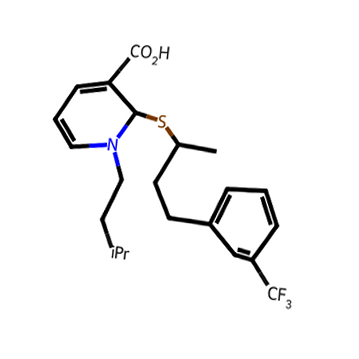 CC(C)CCN1C=CC=C(C(=O)O)C1SC(C)CCc1cccc(C(F)(F)F)c1